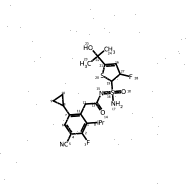 CC(C)c1c(F)c(C#N)cc(C2CC2)c1CC(=O)N=S(N)(=O)C1SC(C(C)(C)O)=CC1F